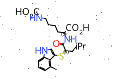 Cc1cccc2[nH]cc(S[C@H](CC(C)C)C(=O)N[C@@H](CCCCNC(=O)O)C(=O)O)c12